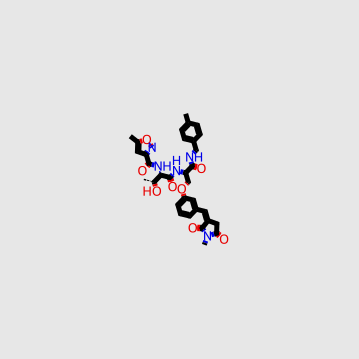 Cc1ccc(CNC(=O)C(COc2cccc(C=C3CC(=O)N(C)C3=O)c2)NC(=O)[C@@H](NC(=O)c2cc(C)on2)[C@@H](C)O)cc1